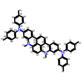 Cc1ccc(N(c2ccc(C)cc2)c2ccc3c(c2)N(C)c2ccc4c5c(ccc-3c25)-c2ccc(N(c3ccc(C)cc3)c3ccc(C)cc3)cc2N4C)cc1